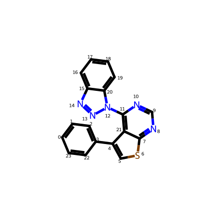 c1ccc(-c2csc3ncnc(-n4nnc5ccccc54)c23)cc1